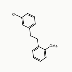 COc1ccccc1CSc1cccc(Cl)c1